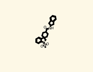 CS(=O)(=O)N1CC2(CCC(C(=O)NC3Cc4ccccc4C3)CC2)c2ccccc21